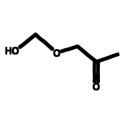 CC(=O)COCO